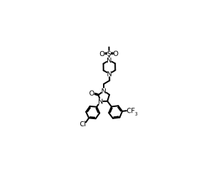 CS(=O)(=O)N1CCN(CCN2CC(c3cccc(C(F)(F)F)c3)N(c3ccc(Cl)cc3)C2=O)CC1